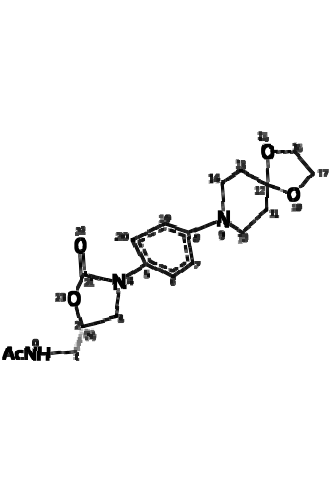 CC(=O)NC[C@H]1CN(c2ccc(N3CCC4(CC3)OCCO4)cc2)C(=O)O1